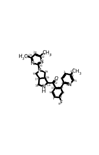 Cc1ccc(-c2cc(F)ccc2C(=O)C2NCC3CN(c4nc(C)cc(C)n4)CC32)nc1